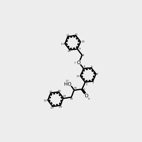 O=C(c1cccc(OCc2ccccc2)c1)C(O)Cc1ccccc1